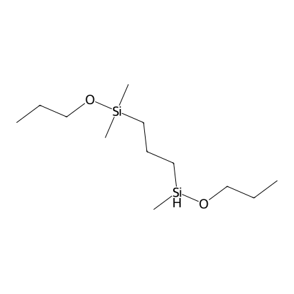 CCCO[SiH](C)CCC[Si](C)(C)OCCC